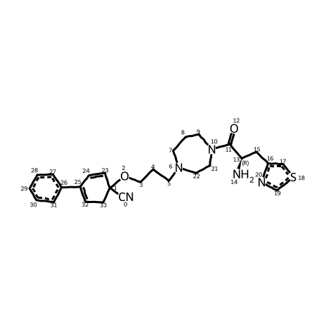 N#CC1(OCCCN2CCCN(C(=O)[C@H](N)Cc3cscn3)CC2)C=CC(c2ccccc2)=CC1